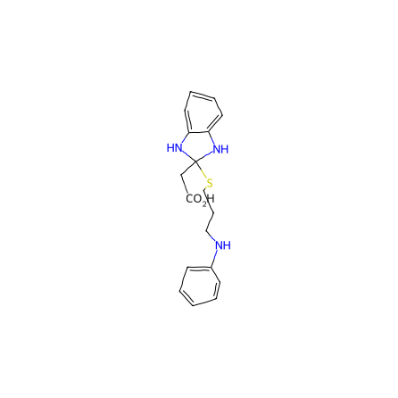 O=C(O)CC1(SCCCNc2ccccc2)Nc2ccccc2N1